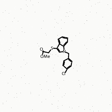 COC(=O)CSc1cn(Cc2ccc(Cl)cc2)c2ccccc12